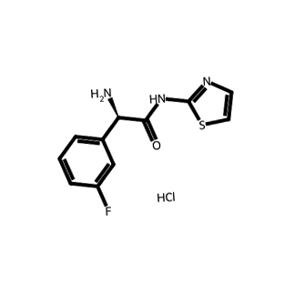 Cl.N[C@@H](C(=O)Nc1nccs1)c1cccc(F)c1